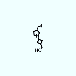 OCC1CC(N2CC[C@@H](CI)C2)C1